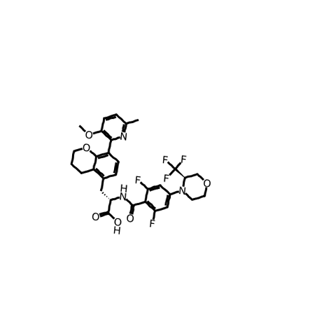 COc1ccc(C)nc1-c1ccc(C[C@H](NC(=O)c2c(F)cc(N3CCOC[C@@H]3C(F)(F)F)cc2F)C(=O)O)c2c1OCCC2